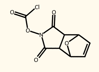 O=C(Cl)ON1C(=O)C2C3C=CC(O3)C2C1=O